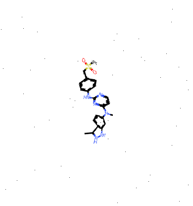 CC1NNc2cc(N(C)c3ccnc(Nc4ccc(CS(=O)(=O)C(C)C)cc4)n3)ccc21